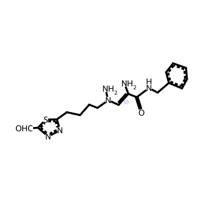 N/C(=C\N(N)CCCCc1nnc(C=O)s1)C(=O)NCc1ccccc1